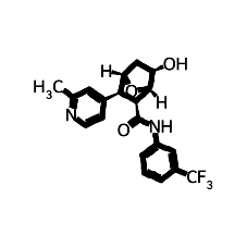 Cc1cc([C@@H]2[C@H](C(=O)Nc3cccc(C(F)(F)F)c3)[C@@H]3O[C@H]2C[C@H]3O)ccn1